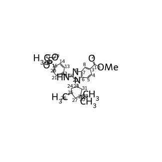 COC(=O)c1ccc2c(c1)nc(Nc1ccc(S(C)(=O)=O)cc1)n2C1C[C@H](C)CC(C)(C)C1